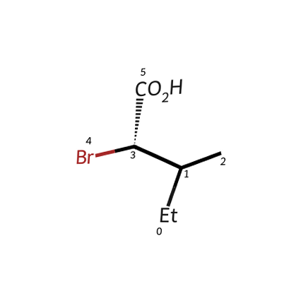 CCC(C)[C@H](Br)C(=O)O